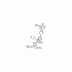 COc1ccc(-c2[nH]c3ccc(C4CCN(C(=O)CN(C)C(=O)OC(C)(C)C)CC4)cc3c2CC(F)(F)F)cc1OC